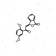 COc1ccc(OC)c(C(=O)C=C2OC(=O)c3ccccc32)c1